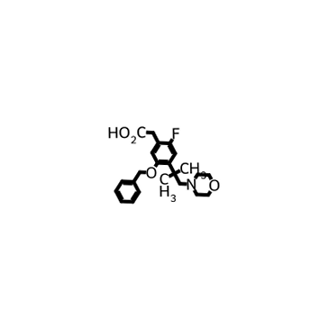 CC(C)(CN1CCOCC1)c1cc(F)c(CC(=O)O)cc1OCc1ccccc1